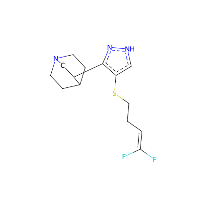 FC(F)=CCCSc1c[nH]nc1C1CN2CCC1CC2